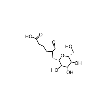 O=CC(CCCC(=O)O)C[C@@H]1O[C@H](CO)[C@@H](O)[C@H](O)[C@H]1O